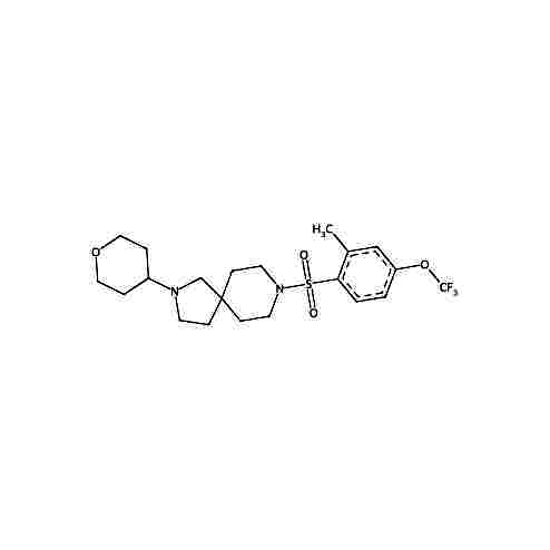 Cc1cc(OC(F)(F)F)ccc1S(=O)(=O)N1CCC2(CCN(C3CCOCC3)C2)CC1